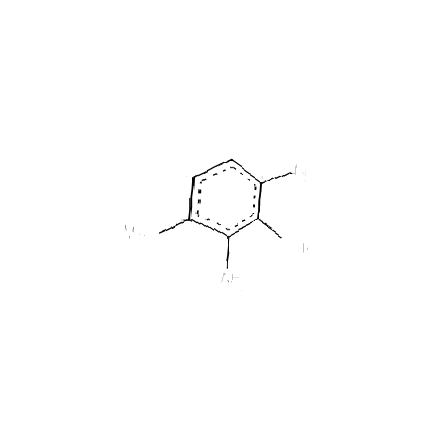 COc1ccc(Br)c(C=O)c1N